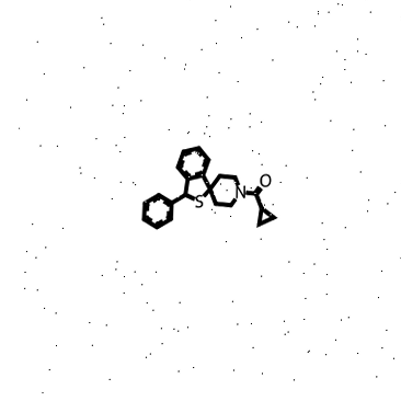 O=C(C1CC1)N1CCC2(CC1)SC(c1ccccc1)c1ccccc12